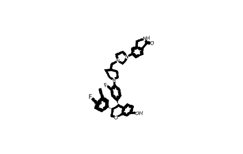 Cc1cc([C@H]2COc3cc(O)ccc3[C@H]2c2ccc(N3CCC(CN4CCN(c5ccc6c(c5)CNC6=O)CC4)CC3)c(F)c2)ccc1F